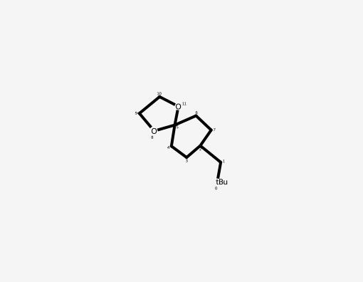 CC(C)(C)CC1CCC2(CC1)OCCO2